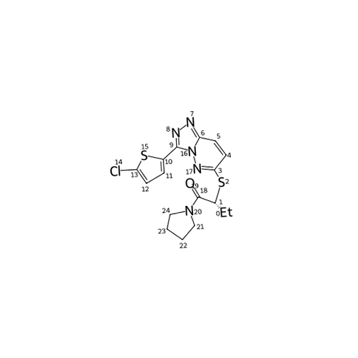 CC[C@@H](Sc1ccc2nnc(-c3ccc(Cl)s3)n2n1)C(=O)N1CCCC1